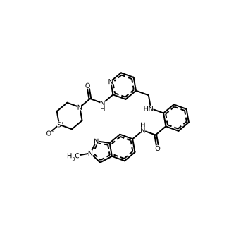 Cn1cc2ccc(NC(=O)c3ccccc3NCc3ccnc(NC(=O)N4CC[S+]([O-])CC4)c3)cc2n1